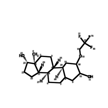 C[C@]12CC[C@H]3[C@@H](CCC4CC(O)C(OCC(F)(F)F)C[C@@H]43)[C@@H]1CC[C@@H]2O